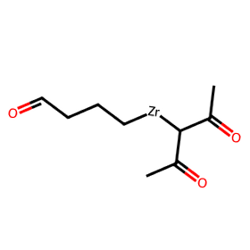 CC(=O)[CH]([Zr][CH2]CCC=O)C(C)=O